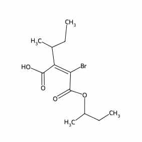 CCC(C)OC(=O)C(Br)=C(C(=O)O)C(C)CC